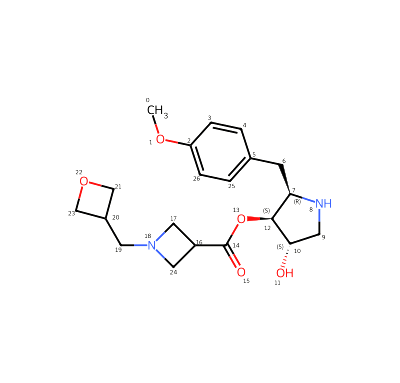 COc1ccc(C[C@H]2NC[C@H](O)[C@H]2OC(=O)C2CN(CC3COC3)C2)cc1